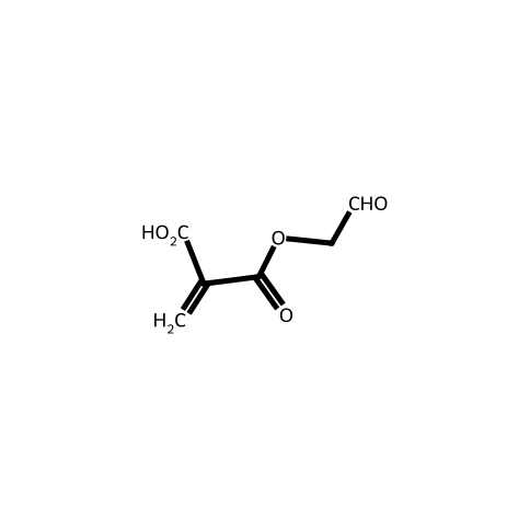 C=C(C(=O)O)C(=O)OCC=O